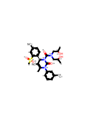 CC1=C(C#N)[C@@H](c2ccc(C#N)cc2S(C)(=O)=O)N(C(=O)N(CC(C)O)CC(C)O)C(=O)N1c1cccc(C(F)(F)F)c1